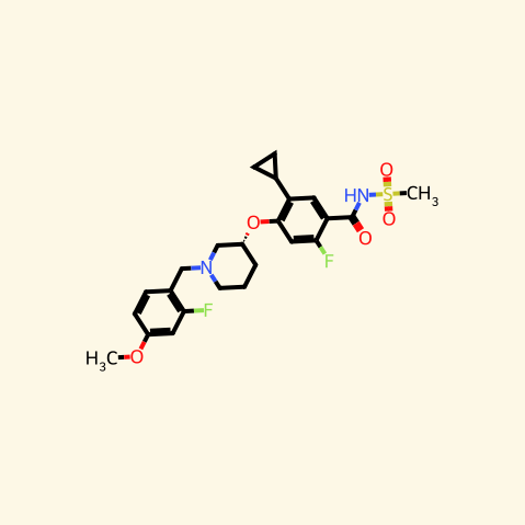 COc1ccc(CN2CCC[C@@H](Oc3cc(F)c(C(=O)NS(C)(=O)=O)cc3C3CC3)C2)c(F)c1